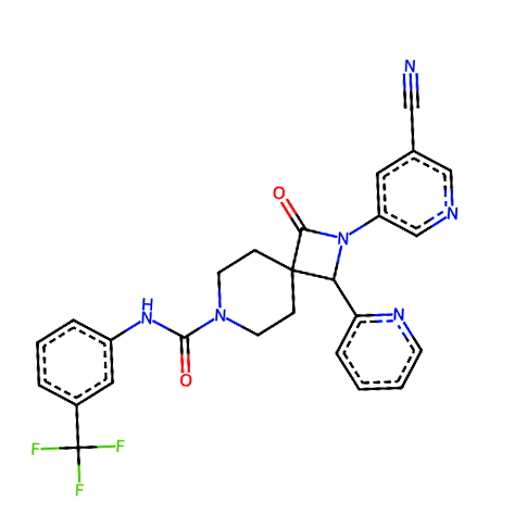 N#Cc1cncc(N2C(=O)C3(CCN(C(=O)Nc4cccc(C(F)(F)F)c4)CC3)C2c2ccccn2)c1